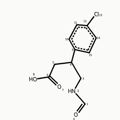 O=CNCC(CC(=O)O)c1ccc(Cl)cc1